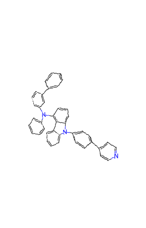 c1ccc(-c2cccc(N(c3ccccc3)c3cccc4c3c3ccccc3n4-c3ccc(-c4ccncc4)cc3)c2)cc1